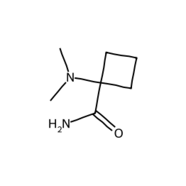 CN(C)C1(C(N)=O)CCC1